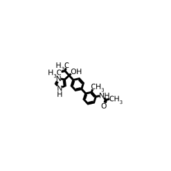 CC(=O)Nc1cccc(-c2ccc(C(O)(c3c[nH]cn3)C(C)C)cc2)c1C